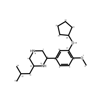 COc1ccc(C2CNCC(CC(C)C)N2)cc1OC1CCCC1